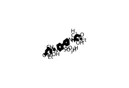 CCn1c(O)c(N=Nc2ccc(-c3ccc(N=Nc4c(C)cc(=O)n(CC)c4O)cc3S(=O)(=O)O)c(S(=O)(=O)O)c2)c(C)cc1=O